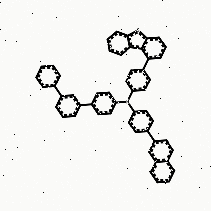 c1ccc(-c2cccc(-c3ccc(N(c4ccc(-c5ccc6ccccc6c5)cc4)c4ccc(-c5cccc6sc7ccccc7c56)cc4)cc3)c2)cc1